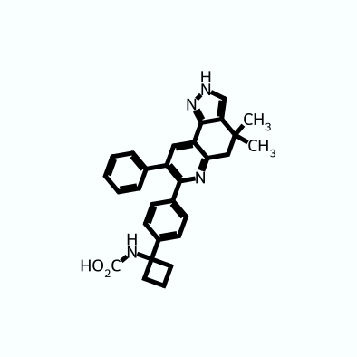 CC1(C)Cc2nc(-c3ccc(C4(NC(=O)O)CCC4)cc3)c(-c3ccccc3)cc2-c2n[nH]cc21